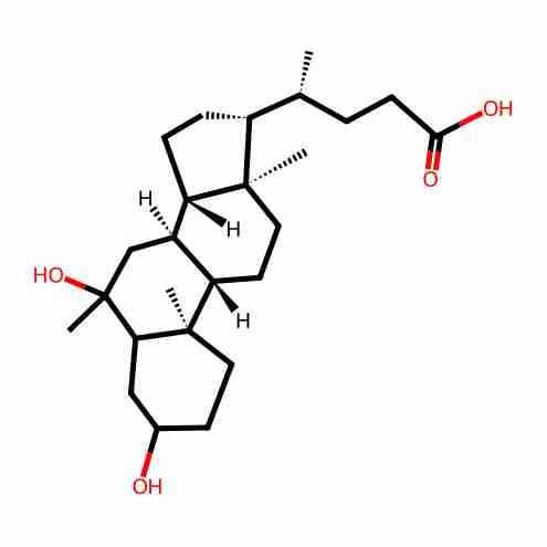 C[C@H](CCC(=O)O)[C@H]1CC[C@H]2[C@@H]3CC(C)(O)C4CC(O)CC[C@]4(C)[C@H]3CC[C@]12C